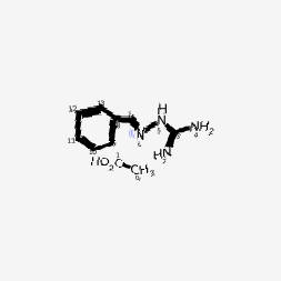 CC(=O)O.N=C(N)N/N=C/c1ccccc1